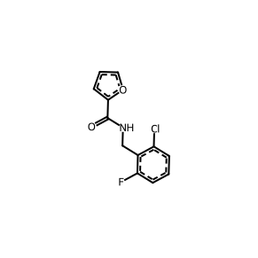 O=C(NCc1c(F)cccc1Cl)c1ccco1